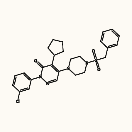 O=c1c(C2CCCC2)c(N2CCN(S(=O)(=O)Cc3ccccc3)CC2)cnn1-c1cccc(Cl)c1